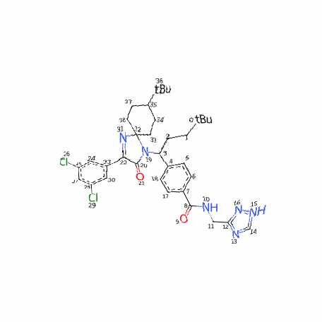 CC(C)(C)CCC(c1ccc(C(=O)NCc2nc[nH]n2)cc1)N1C(=O)C(c2cc(Cl)cc(Cl)c2)=NC12CCC(C(C)(C)C)CC2